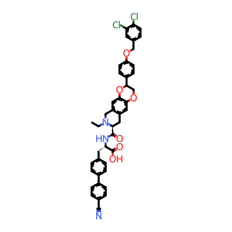 CCN1Cc2cc3c(cc2C[C@H]1C(=O)N[C@@H](Cc1ccc(-c2ccc(C#N)cc2)cc1)C(=O)O)OCC(c1ccc(OCc2ccc(Cl)c(Cl)c2)cc1)O3